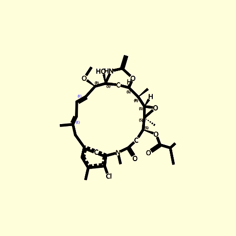 C=C1N[C@]2(O)C[C@H](O1)[C@@H](C)[C@@H]1O[C@@]1(C)[C@@H](OC(=O)C(C)C)CC(=O)N(C)c1cc(cc(C)c1Cl)C/C(C)=C/C=C/[C@H]2OC